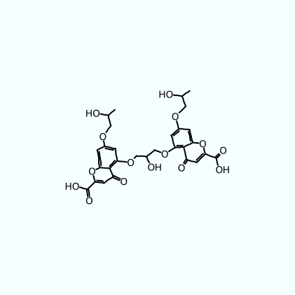 CC(O)COc1cc(OCC(O)COc2cc(OCC(C)O)cc3oc(C(=O)O)cc(=O)c23)c2c(=O)cc(C(=O)O)oc2c1